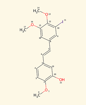 COc1ccc(/C=C/c2cc(I)c(OC)c(OC)c2)cc1O